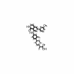 COc1cncc(-c2cc3cc[nH]c(=O)c3c(Nc3ccc(C4CCN(C(C)C(=O)O)CC4)c(C)c3)n2)n1